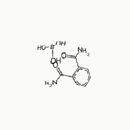 NC(=O)c1ccccc1C(N)=O.OB(O)O